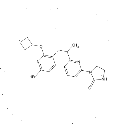 CC(C)c1ccc(CC(C)c2cccc(N3CCNC3=O)n2)c(OC2CCC2)n1